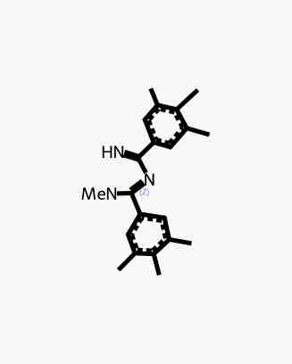 CN/C(=N\C(=N)c1cc(C)c(C)c(C)c1)c1cc(C)c(C)c(C)c1